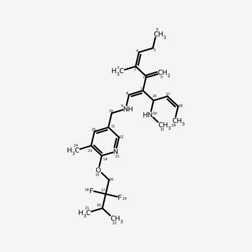 C=C(/C(C)=C\CC)/C(=C/NCc1cnc(OCC(F)(F)C(C)C)c(C)c1)C(/C=C\C)NC